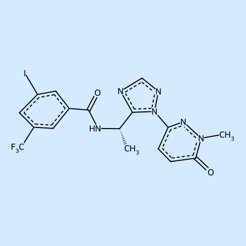 C[C@H](NC(=O)c1cc(I)cc(C(F)(F)F)c1)c1ncnn1-c1ccc(=O)n(C)n1